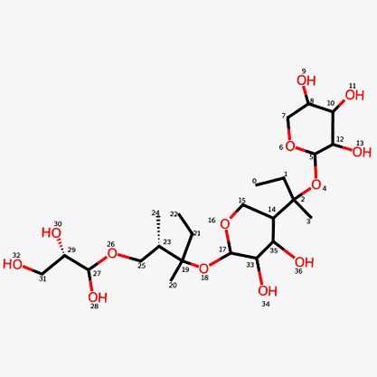 CCC(C)(OC1OCC(O)C(O)C1O)C1COC(OC(C)(CC)[C@@H](C)COC(O)[C@@H](O)CO)C(O)C1O